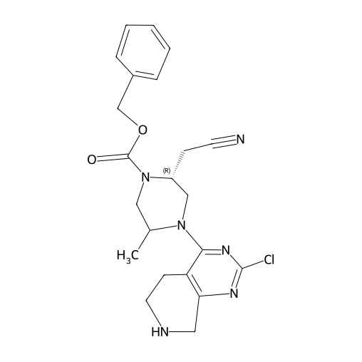 CC1CN(C(=O)OCc2ccccc2)[C@H](CC#N)CN1c1nc(Cl)nc2c1CCNC2